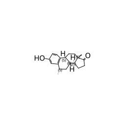 C[C@H]1C[C@@H]2[C@H](CC[C@]3(C)C(=O)CC[C@@H]23)c2ccc(O)cc21